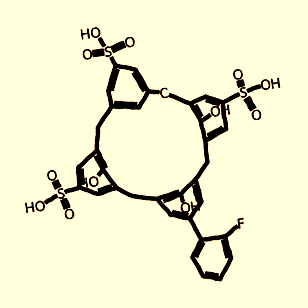 O=S(=O)(O)c1cc2cc(c1)Cc1cc(S(=O)(=O)O)cc(c1O)Cc1cc(-c3ccccc3F)cc(c1O)Cc1cc(S(=O)(=O)O)cc(c1O)C2